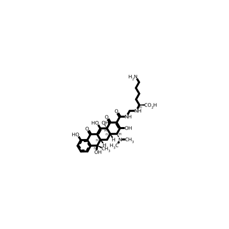 CN(C)[C@H]1C(O)=C(C(=O)NCN[C@@H](CCCCN)C(=O)O)C(=O)[C@]2(O)C(O)=C3C(=O)c4c(O)cccc4[C@@](C)(O)[C@H]3C[C@@H]12